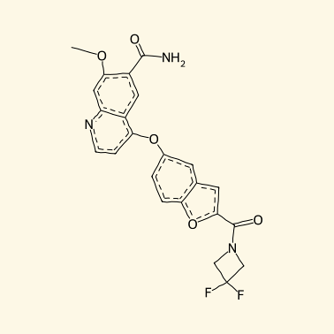 COc1cc2nccc(Oc3ccc4oc(C(=O)N5CC(F)(F)C5)cc4c3)c2cc1C(N)=O